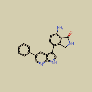 Nc1ccc(-c2c[nH]c3ncc(-c4ccccc4)cc23)c2c1C(=O)NC2